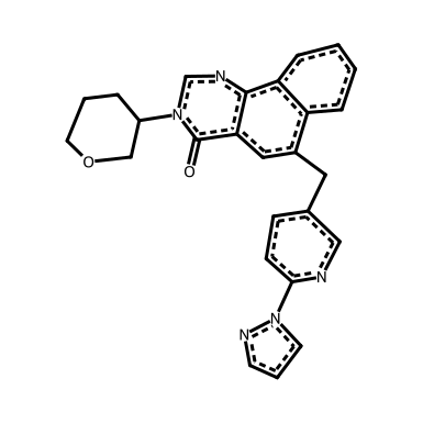 O=c1c2cc(Cc3ccc(-n4cccn4)nc3)c3ccccc3c2ncn1C1CCCOC1